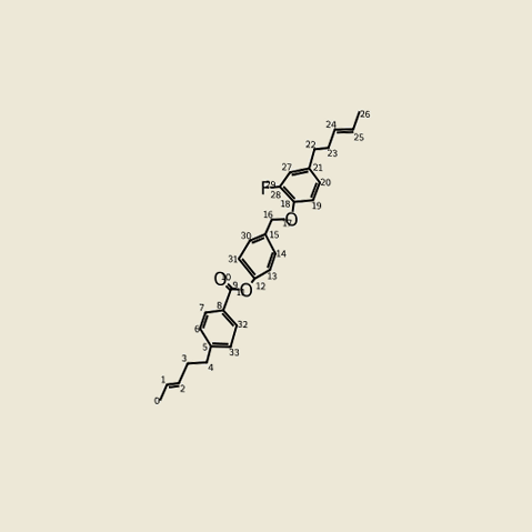 C/C=C/CCc1ccc(C(=O)Oc2ccc(COc3ccc(CC/C=C/C)cc3F)cc2)cc1